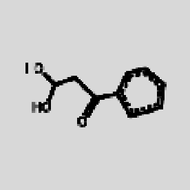 O=C(CC(O)O)c1ccccc1